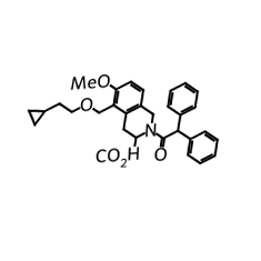 COc1ccc2c(c1COCCC1CC1)CC(C(=O)O)N(C(=O)C(c1ccccc1)c1ccccc1)C2